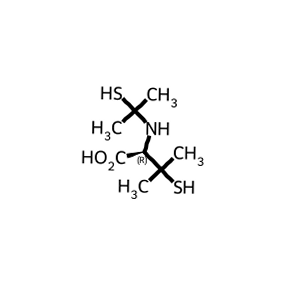 CC(C)(S)N[C@H](C(=O)O)C(C)(C)S